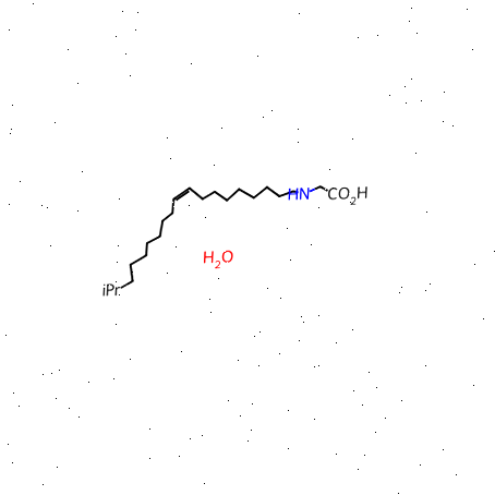 CC(C)CCCCCCC/C=C\CCCCCCCCNCC(=O)O.O